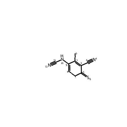 CC1=C(C#N)C(=S)CC=C1NC#N